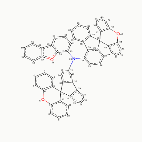 c1ccc2c(c1)Oc1ccccc1C21c2ccccc2-c2cc(N(c3cccc4c3-c3ccccc3C43c4ccccc4Oc4ccccc43)c3cccc4c3oc3ccccc34)ccc21